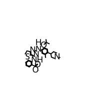 COC(=O)c1ccccc1Nc1nc(Nc2cc(C)c(C3CCN(C)CC3)cc2OC(C)C)nc2c1SCC2